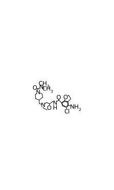 CN(C)C(=O)N1CCC(CN2CCOC(CNC(=O)c3cc(Cl)c(N)c4c3OCC4)C2)CC1